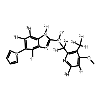 [2H]c1nc(C([2H])([2H])[S+]([O-])c2nc3c([2H])c(-n4cccc4)c([2H])c([2H])c3n2[2H])c(C([2H])([2H])[2H])c(OC)c1[2H]